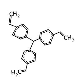 C=Cc1ccc(C(c2ccc(C=C)cc2)c2ccc(C=C)cc2)cc1